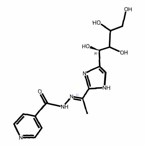 C/C(=N\NC(=O)c1ccncc1)c1nc([C@@H](O)C(O)C(O)CO)c[nH]1